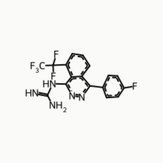 N=C(N)Nc1nnc(-c2ccc(F)cc2)c2cccc(C(F)(F)C(F)(F)F)c12